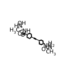 C[C@@H](N)C(=O)Nc1ccc(C#Cc2ccc(C(=O)N[C@@H](CNO)[C@@H](C)O)cc2)cc1